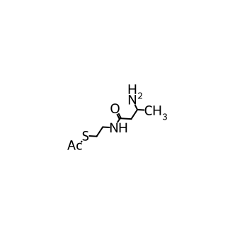 CC(=O)SCCNC(=O)CC(C)N